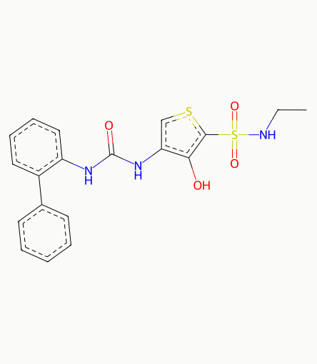 CCNS(=O)(=O)c1scc(NC(=O)Nc2ccccc2-c2ccccc2)c1O